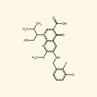 COc1nc2c(cc1NCc1cccc(Cl)c1F)c(=O)c(C(=O)O)cn2C(CO)C(C)C